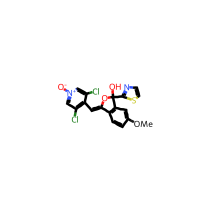 COc1ccc2c(c1)C(O)(c1nccs1)O/C2=C\c1c(Cl)c[n+]([O-])cc1Cl